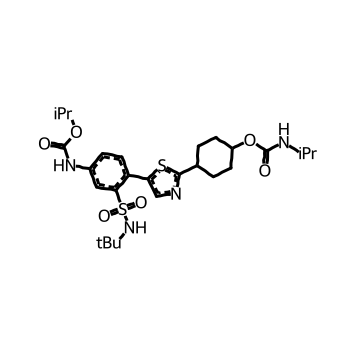 CC(C)NC(=O)OC1CCC(c2ncc(-c3ccc(NC(=O)OC(C)C)cc3S(=O)(=O)NC(C)(C)C)s2)CC1